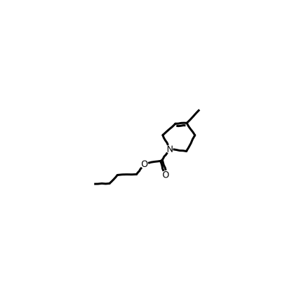 CCCCOC(=O)N1CC=C(C)CC1